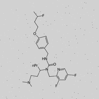 CCCC(CCN(C)C)N(Cc1ncc(F)cc1F)C(=O)NCc1ccc(OCCC(C)F)cc1